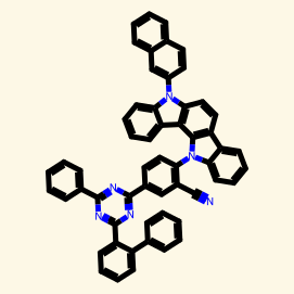 N#Cc1cc(-c2nc(-c3ccccc3)nc(-c3ccccc3-c3ccccc3)n2)ccc1-n1c2ccccc2c2ccc3c(c4ccccc4n3-c3ccc4ccccc4c3)c21